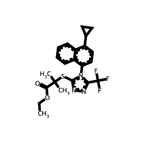 CCOC(=O)C(C)(C)Sc1nnc(C(F)(F)F)n1-c1ccc(C2CC2)c2ccccc12